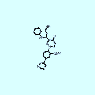 COc1cc(-c2cncnc2)ccc1-n1ccc(=O)c(/C(=C/C=N)Nc2ccccc2)n1